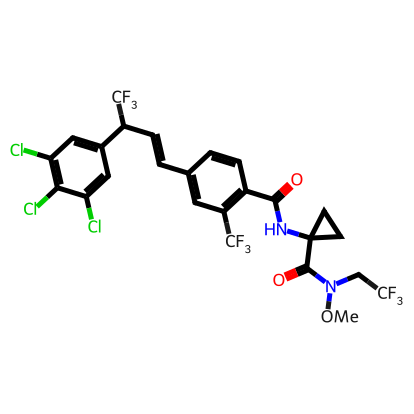 CON(CC(F)(F)F)C(=O)C1(NC(=O)c2ccc(C=CC(c3cc(Cl)c(Cl)c(Cl)c3)C(F)(F)F)cc2C(F)(F)F)CC1